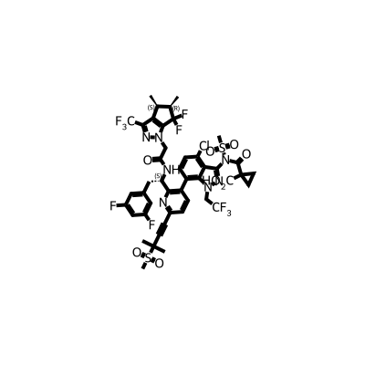 C[C@@H]1c2c(C(F)(F)F)nn(CC(=O)N[C@@H](Cc3cc(F)cc(F)c3)c3nc(C#CC(C)(C)S(C)(=O)=O)ccc3-c3ccc(Cl)c4c(N(C(=O)C5(C(=O)O)CC5)S(C)(=O)=O)nn(CC(F)(F)F)c34)c2C(F)(F)[C@@H]1C